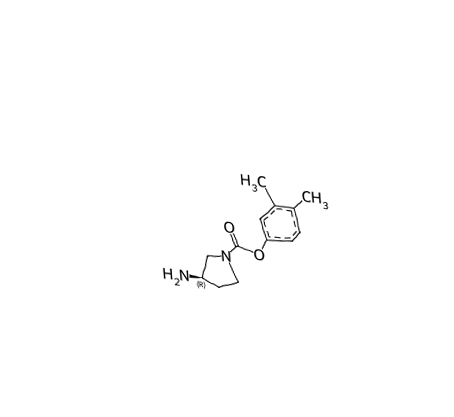 Cc1ccc(OC(=O)N2CC[C@@H](N)C2)cc1C